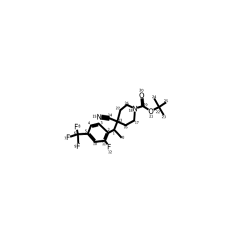 CC(c1ccc(C(F)(F)F)cc1F)C1(C#N)CCN(C(=O)OC(C)(C)C)CC1